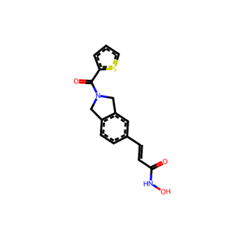 O=C(C=Cc1ccc2c(c1)CN(C(=O)c1cccs1)C2)NO